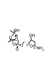 CP(=O)(O)OP(C)(=O)OP(C)(=O)OC[C@H]1O[C@@H](N)CC1O